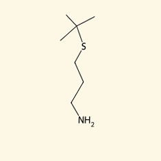 CC(C)(C)SCCCN